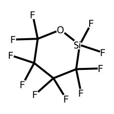 FC1(F)O[Si](F)(F)C(F)(F)C(F)(F)C1(F)F